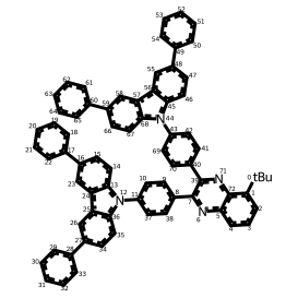 CC(C)(C)c1cccc2nc(-c3ccc(-n4c5ccc(-c6ccccc6)cc5c5cc(-c6ccccc6)ccc54)cc3)c(-c3ccc(-n4c5ccc(-c6ccccc6)cc5c5cc(-c6ccccc6)ccc54)cc3)nc12